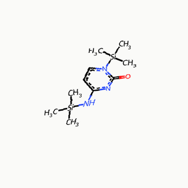 C[Si](C)(C)Nc1ccn([Si](C)(C)C)c(=O)n1